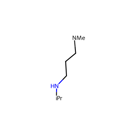 CNCCCNC(C)C